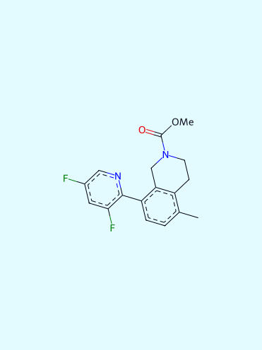 COC(=O)N1CCc2c(C)ccc(-c3ncc(F)cc3F)c2C1